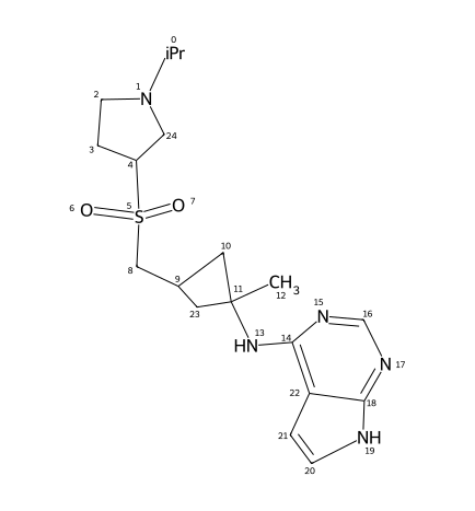 CC(C)N1CCC(S(=O)(=O)CC2CC(C)(Nc3ncnc4[nH]ccc34)C2)C1